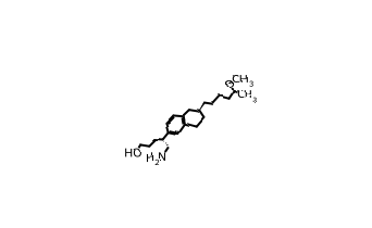 COC(C)CCCC[C@H]1CCc2cc([C@H](CN)CCCO)ccc2C1